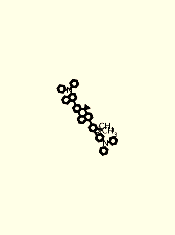 C[Si]1(C)c2cc(-c3ccc4c5c(cccc35)-c3ccc(-c5ccc(N(c6ccccc6)c6ccccc6)c6ccccc56)cc3C43CC3)ccc2-c2ccc(N(c3ccccc3)c3ccccc3)cc21